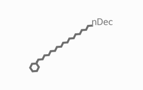 CCCCCCCCCCCCCCCCCCCCCCCCCCCC[C]1CCCCC1